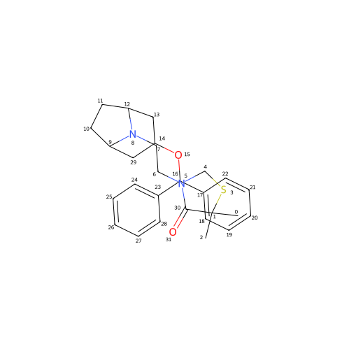 CC1(C)SCN(CCN2C3CCC2CC(OC(c2ccccc2)c2ccccc2)C3)C1=O